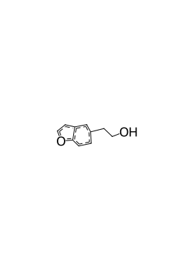 OCCc1ccc2occc2c1